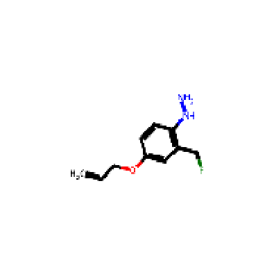 C=CCOc1ccc(NN)c(CF)c1